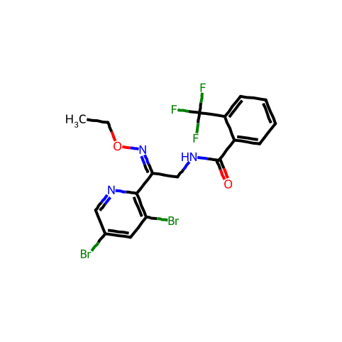 CCON=C(CNC(=O)c1ccccc1C(F)(F)F)c1ncc(Br)cc1Br